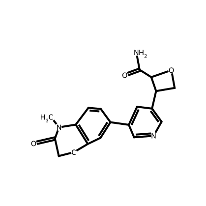 CN1C(=O)CCc2cc(-c3cncc(C4COC4C(N)=O)c3)ccc21